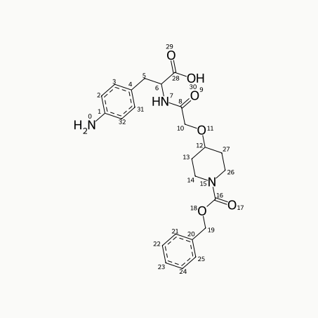 Nc1ccc(CC(NC(=O)COC2CCN(C(=O)OCc3ccccc3)CC2)C(=O)O)cc1